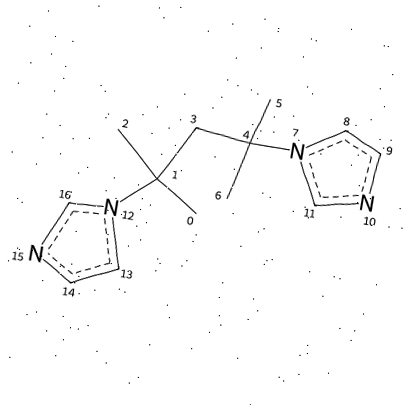 CC(C)(CC(C)(C)n1ccnc1)n1ccnc1